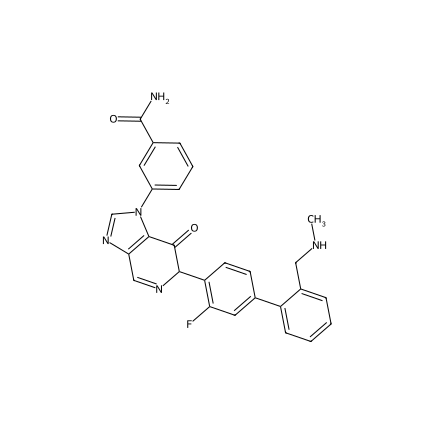 CNCc1ccccc1-c1ccc(C2N=Cc3ncn(-c4cccc(C(N)=O)c4)c3C2=O)c(F)c1